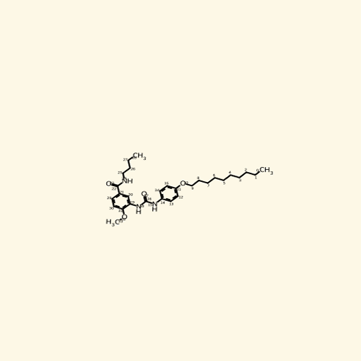 CCCCCCCCCCOc1ccc(NC(=O)Nc2cc(C(=O)NCCCC)ccc2OC)cc1